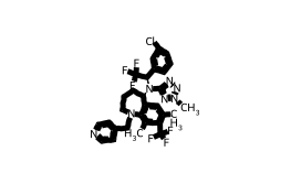 Cc1cc2c(c(C)c1C(F)(F)F)N(Cc1ccncc1)CCC[C@@H]2N(c1nnn(C)n1)[C@@H](c1cccc(Cl)c1)C(F)(F)F